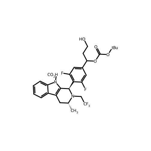 C[C@@H]1Cc2c(n(C(=O)O)c3ccccc23)[C@@H](c2c(F)cc(C(CCO)OC(=O)OC(C)(C)C)cc2F)N1CC(F)(F)F